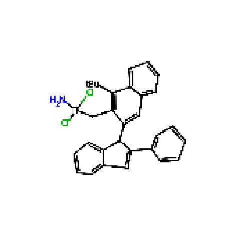 CC(C)(C)c1c([CH2][Ti]([NH2])([Cl])[Cl])c(C2C(c3ccccc3)=Cc3ccccc32)cc2ccccc12